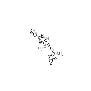 COc1ccc(C2=CN3C(=O)c4cc(OC)c(OCCCOc5cc6c(cc5OC)C(=O)N5CC7(CC7)CC5C=N6)cc4NC[C@@H]3C2)cc1